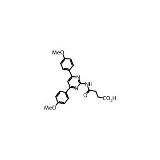 COc1ccc(-c2cc(-c3ccc(OC)cc3)nc(NC(=O)CCC(=O)O)n2)cc1